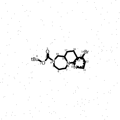 CC(C)(C)OC(=O)N1CCCN2c3nccc(Br)c3CCC2C1